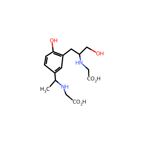 CC(NCC(=O)O)c1ccc(O)c(CC(CO)NCC(=O)O)c1